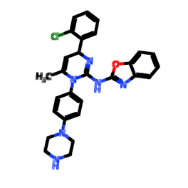 CC1=CC(c2ccccc2Cl)N=C(Nc2nc3ccccc3o2)N1c1ccc(N2CCNCC2)cc1